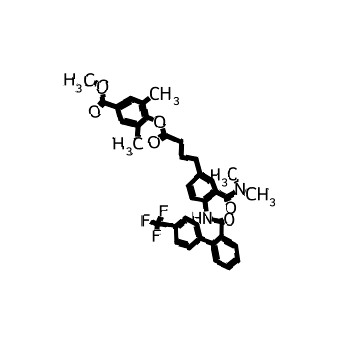 COC(=O)c1cc(C)c(OC(=O)CCCc2ccc(NC(=O)c3ccccc3-c3ccc(C(F)(F)F)cc3)c(C(=O)N(C)C)c2)c(C)c1